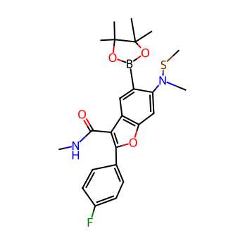 CNC(=O)c1c(-c2ccc(F)cc2)oc2cc(N(C)SC)c(B3OC(C)(C)C(C)(C)O3)cc12